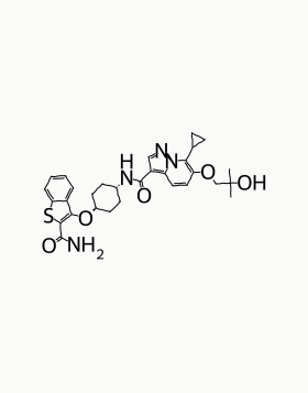 CC(C)(O)COc1ccc2c(C(=O)N[C@H]3CC[C@H](Oc4c(C(N)=O)sc5ccccc45)CC3)cnn2c1C1CC1